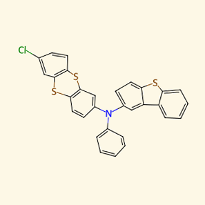 Clc1ccc2c(c1)Sc1ccc(N(c3ccccc3)c3ccc4sc5ccccc5c4c3)cc1S2